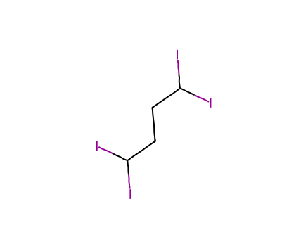 IC(I)CCC(I)I